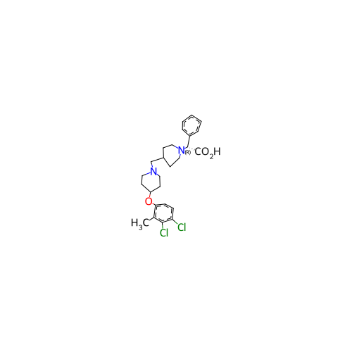 Cc1c(OC2CCN(CC3CCN([C@@H](C(=O)O)c4ccccc4)CC3)CC2)ccc(Cl)c1Cl